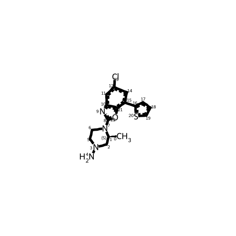 C[C@H]1CN(N)CCN1c1nc2cc(Cl)cc(-c3cccs3)c2o1